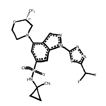 C[C@@H]1CN(c2cc(S(=O)(=O)NC3(C#N)CC3)cc3c2cnn3-c2nnc(C(F)F)s2)CCO1